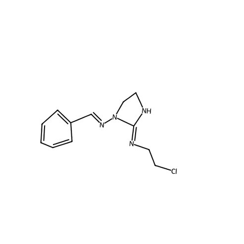 ClCCN=C1NCCN1N=Cc1ccccc1